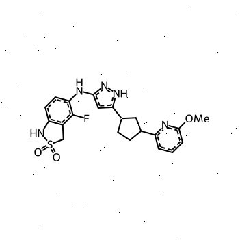 COc1cccc(C2CCC(c3cc(Nc4ccc5c(c4F)CS(=O)(=O)N5)n[nH]3)C2)n1